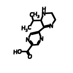 CC(C)C1NCCN=C1c1cnc(C(=O)O)cn1